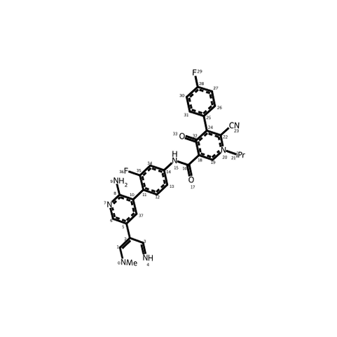 CN/C=C(\C=N)c1cnc(N)c(-c2ccc(NC(=O)c3cn(C(C)C)c(C#N)c(-c4ccc(F)cc4)c3=O)cc2F)c1